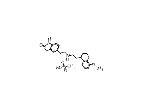 COc1cccc2c1CCCC2CCNCCc1ccc2c(c1)CC(=O)N2.CS(=O)(=O)O